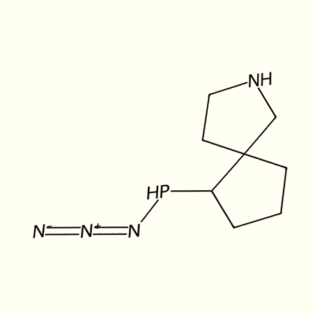 [N-]=[N+]=NPC1CCCC12CCNC2